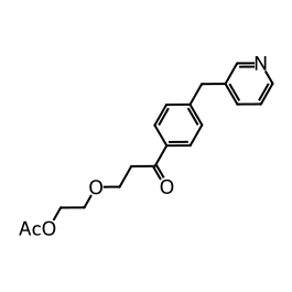 CC(=O)OCCOCCC(=O)c1ccc(Cc2cccnc2)cc1